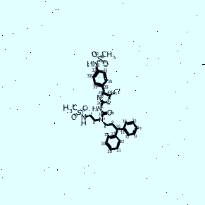 CS(=O)(=O)NCCN(CCC(c1ccccc1)c1ccccc1)C(=O)Nc1nc(-c2ccc(NS(C)(=O)=O)cc2)c(Cl)s1